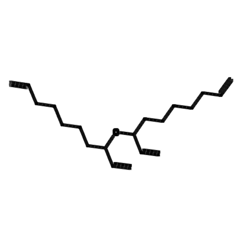 C=CCCCCCC(C=C)OC(C=C)CCCCCC=C